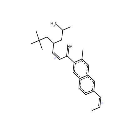 C/C=C\c1ccc2cc(C(=N)/C=C\C(CC(C)N)CC(C)(C)C)c(C)cc2c1